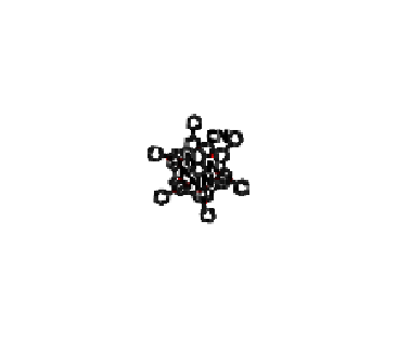 N#Cc1ccc(-c2c(-n3c4ccc(-c5ccccc5)cc4c4cc(-c5ccccc5)ccc43)c(-n3c4ccccc4c4ccccc43)c(-n3c4ccc(-c5ccccc5)cc4c4cc(-c5ccccc5)ccc43)c(-n3c4ccccc4c4ccccc43)c2-n2c3ccc(-c4ccccc4)cc3c3cc(-c4ccccc4)ccc32)cc1